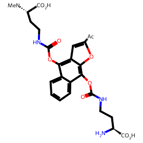 CN[C@@H](CCNC(=O)Oc1c2ccccc2c(OC(=O)NCC[C@H](N)C(=O)O)c2oc(C(C)=O)cc12)C(=O)O